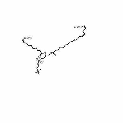 CCCCC/C=C\C/C=C\CCCCCCCCCCCC(=O)OC[C@H](COP(=O)([O-])OCC[N+](C)(C)C)OC(=O)CCCCCCC/C=C\CCCCC